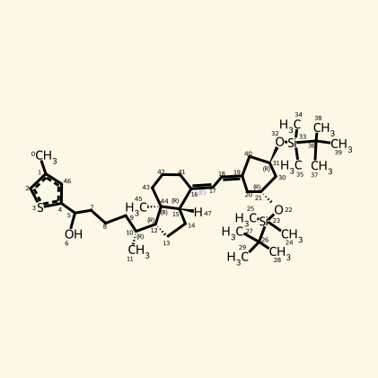 Cc1csc(C(O)CCC[C@@H](C)[C@H]2CC[C@H]3/C(=C/C=C4C[C@@H](O[Si](C)(C)C(C)(C)C)C[C@H](O[Si](C)(C)C(C)(C)C)C4)CCC[C@]23C)c1